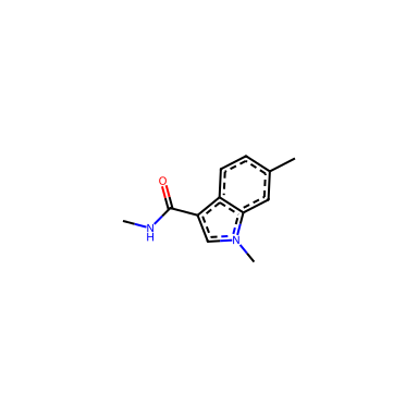 CNC(=O)c1cn(C)c2cc(C)ccc12